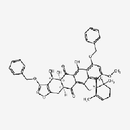 COc1cc(OCc2ccccc2)c2c(O)c3c(c4c2c1[C@]1(C4)C(C)=CCCC1(C)C)C(=O)[C@H]1Cc2onc(OCc4ccccc4)c2[C@@H](O)[C@@]1(O)C3=O